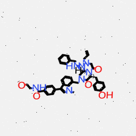 C=CCN1CC(=O)N2[C@@H](Cc3ccc(O)cc3)C(=O)N(Cc3cccc4c(-c5ccc(C(=O)NCCOC)cc5)cn(C)c34)C[C@@H]2N1NCc1ccccc1